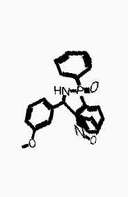 COc1cccc(C(NP(=O)(c2ccccc2)c2ccccc2)c2ccon2)c1